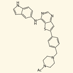 CC(=O)N1CCN(Cc2ccc(-c3cc4ncnc(Nc5ccc6[nH]ccc6c5)c4s3)cc2)CC1